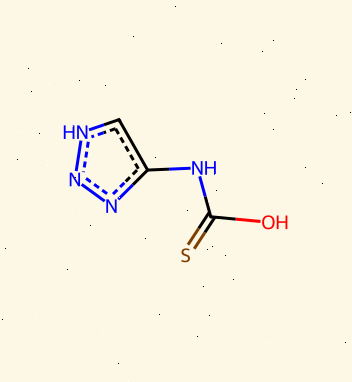 OC(=S)Nc1c[nH]nn1